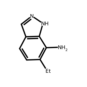 CCc1ccc2cn[nH]c2c1N